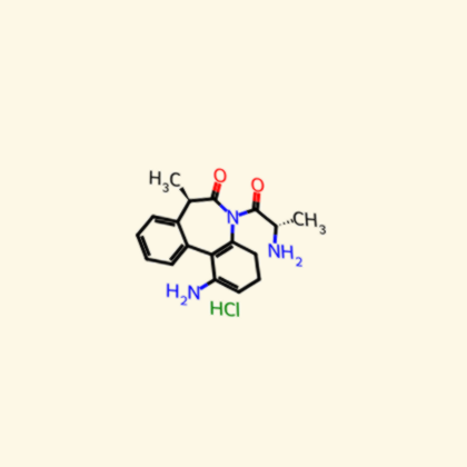 C[C@H](N)C(=O)N1C(=O)[C@H](C)c2ccccc2C2=C1CCC=C2N.Cl